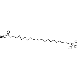 COC(=O)CCCCCCCCCCCCCCCCCCCCCC[Si](Cl)(Cl)Cl